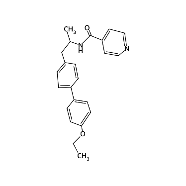 CCOc1ccc(-c2ccc(CC(C)NC(=O)c3ccncc3)cc2)cc1